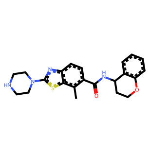 Cc1c(C(=O)NC2CCOc3ccccc32)ccc2nc(N3CCNCC3)sc12